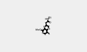 CCNC(=O)Cc1cnc2c(C)cnc(OC)c2n1